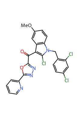 COc1ccc2c(c1)c(C(=O)c1nnc(-c3ccccn3)o1)c(Cl)n2Cc1ccc(Cl)cc1Cl